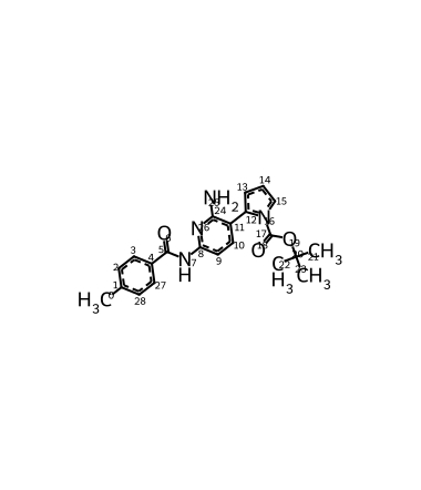 Cc1ccc(C(=O)Nc2ccc(-c3cccn3C(=O)OC(C)(C)C)c(N)n2)cc1